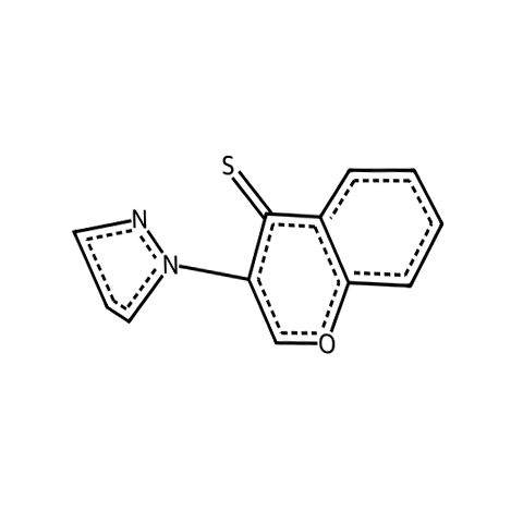 S=c1c(-n2cccn2)coc2ccccc12